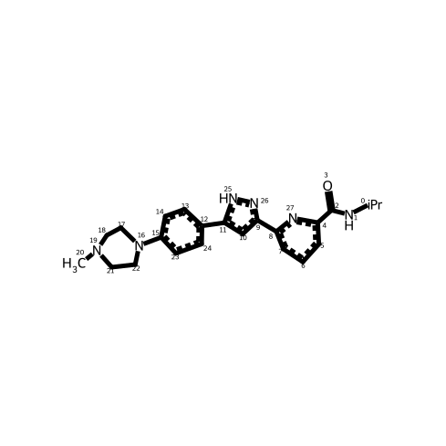 CC(C)NC(=O)c1cccc(-c2cc(-c3ccc(N4CCN(C)CC4)cc3)[nH]n2)n1